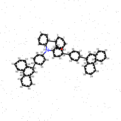 c1ccc(-c2ccccc2N(c2ccc(-c3ccc(-c4cc5ccccc5c5ccccc45)cc3)cc2)c2ccc(-c3cc4ccccc4c4ccccc34)cc2)cc1